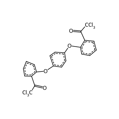 O=C(c1ccccc1Oc1ccc(Oc2ccccc2C(=O)C(Cl)(Cl)Cl)cc1)C(Cl)(Cl)Cl